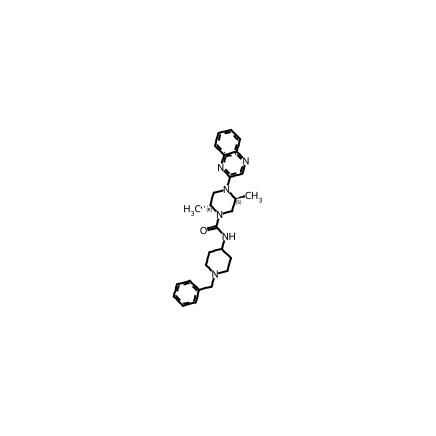 C[C@@H]1CN(c2cnc3ccccc3n2)[C@@H](C)CN1C(=O)NC1CCN(Cc2ccccc2)CC1